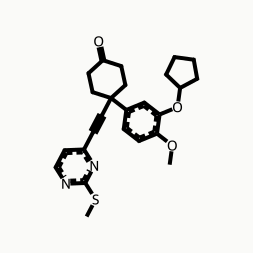 COc1ccc(C2(C#Cc3ccnc(SC)n3)CCC(=O)CC2)cc1OC1CCCC1